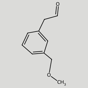 COCc1cccc(CC=O)c1